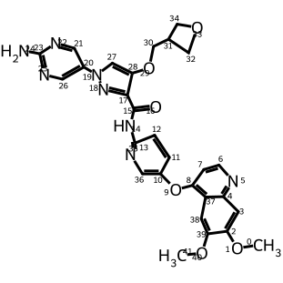 COc1cc2nccc(Oc3ccc(NC(=O)c4nn(-c5cnc(N)nc5)cc4OCC4COC4)nc3)c2cc1OC